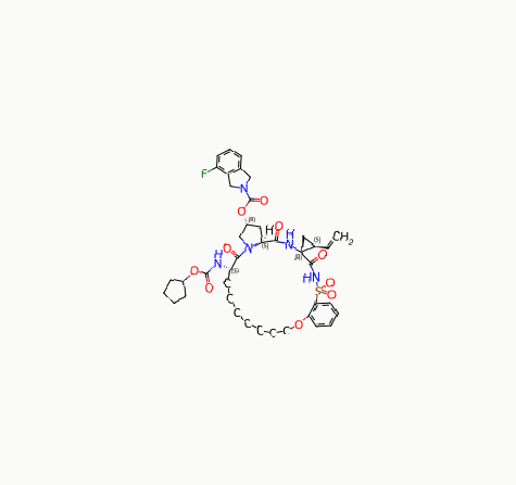 C=C[C@@H]1C[C@@]12NC(=O)[C@@H]1C[C@@H](OC(=O)N3Cc4cccc(F)c4C3)CN1C(=O)[C@@H](NC(=O)OC1CCCC1)CCCCCCCOc1ccccc1S(=O)(=O)NC2=O